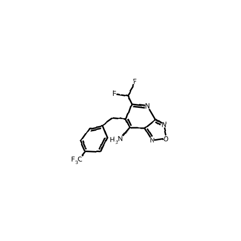 Nc1c(Cc2ccc(C(F)(F)F)cc2)c(C(F)F)nc2nonc12